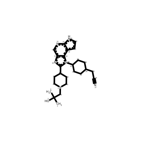 CC(C)(O)CN1CCC(c2nc3cnc4[nH]ccc4c3n2C2CCC(CC#N)CC2)CC1